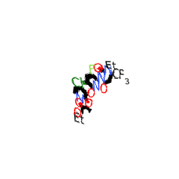 CCOCC(=O)C(C)Oc1ncccc1Oc1nc(-n2c(=O)cc(C(F)(F)F)n(CC)c2=O)c(F)cc1Cl